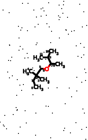 CCC(C)(C)COC(C)C(C)C